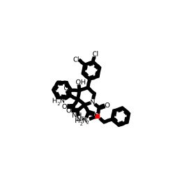 CN(Cc1ccccc1)C(=O)N1CC(c2ccc(Cl)c(Cl)c2)C(O)(c2ccccc2)C(C(N)=O)(C(N)=O)C1(C(N)=O)C(N)=O